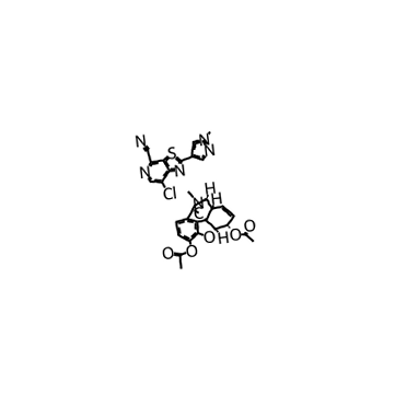 CC(=O)Oc1ccc2c3c1O[C@H]1[C@@H](OC(C)=O)C=C[C@H]4[C@@H](C2)N(C)CC[C@@]341.Cn1cc(-c2nc3c(Cl)cnc(C#N)c3s2)cn1